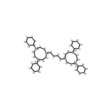 C1CCC(N2CCN(CCCCN3CCN(C4CCCCC4)CCN(C4CCCCC4)CC3)CCN(C3CCCCC3)CC2)CC1